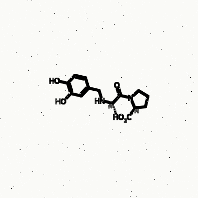 C[C@H](NCc1ccc(O)c(O)c1)C(=O)N1CCC[C@H]1C(=O)O